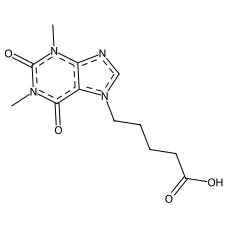 Cn1c(=O)c2c(ncn2CCCCC(=O)O)n(C)c1=O